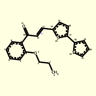 CCCOc1ccccc1C(=O)/C=C/c1ccc(-c2cccs2)s1